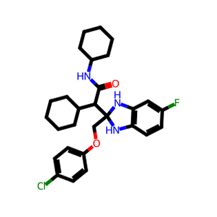 O=C(NC1CCCCC1)C(C1CCCCC1)C1(COc2ccc(Cl)cc2)Nc2ccc(F)cc2N1